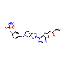 COC(=O)Cc1cc2c(N3CCC4(CCN(Cc5ccc(CS(N)(=O)=O)cc5)C4)C3)ncnc2s1